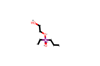 CCCP(=O)(CC)OCCO